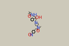 CCN(C(=O)Cc1ccc(N=O)cc1)C1CCN(CCC(O)(CCNC(=O)C(C)(C)C)c2ccccc2)CC1